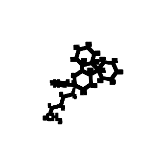 CCCCC[C@]1(C#N)CC[C@@H](C2(C3CCCCC3)CCCCC2)CC1